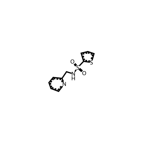 O=S(=O)(NCc1ccccn1)c1cccs1